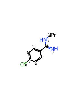 CC(C)NC(=N)c1ccc(Cl)cc1